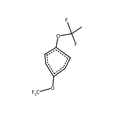 CC(F)(F)Oc1ccc(OC(F)(F)F)cc1